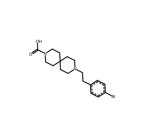 O=C(O)N1CCC2(CCN(CCc3ccc(Br)cc3)CC2)CC1